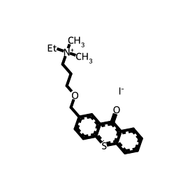 CC[N+](C)(C)CCCOCc1ccc2sc3ccccc3c(=O)c2c1.[I-]